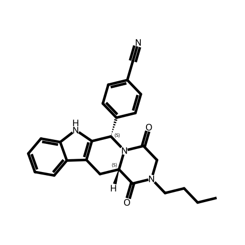 CCCCN1CC(=O)N2[C@@H](c3ccc(C#N)cc3)c3[nH]c4ccccc4c3C[C@H]2C1=O